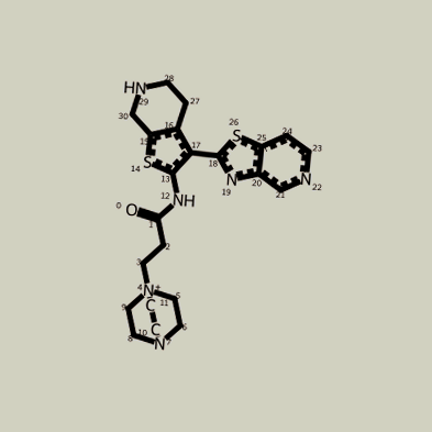 O=C(CC[N+]12CCN(CC1)CC2)Nc1sc2c(c1-c1nc3cnccc3s1)CCNC2